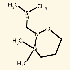 C[SiH](C)CN1OCCC[Si]1(C)C